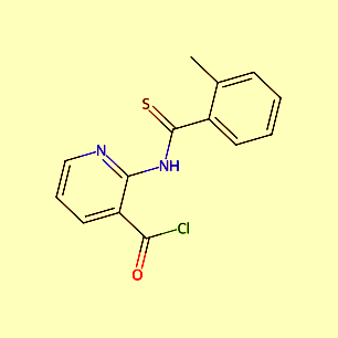 Cc1ccccc1C(=S)Nc1ncccc1C(=O)Cl